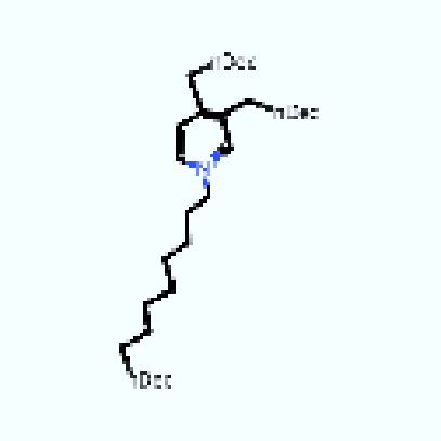 CCCCCCCCCCCCCCCCCC[n+]1ccc(CCCCCCCCCCC)c(CCCCCCCCCCC)c1